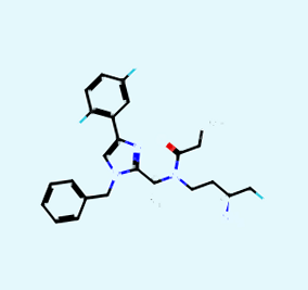 COCC(=O)N(CC[C@H](N)CF)[C@@H](c1nc(-c2cc(F)ccc2F)cn1Cc1ccccc1)C(C)(C)C